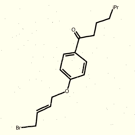 CC(C)CCCC(=O)c1ccc(OCC=CCBr)cc1